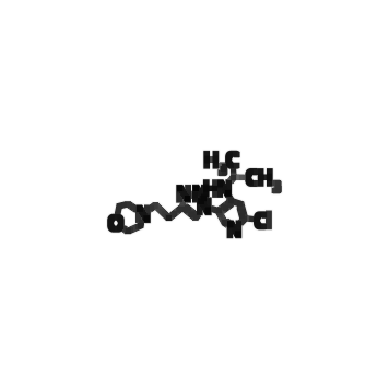 CC(C)Nc1cc(Cl)ncc1-n1cc(CCN2CCOCC2)nn1